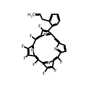 C=CCc1ccccc1C1=C(F)C2=C(F)C3=NC(=C(F)C4=NC(=C(F)C5=NC(=CC1=N2)C=C5)C(F)=C4F)C(F)=C3F